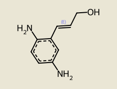 Nc1ccc(N)c(/C=C/CO)c1